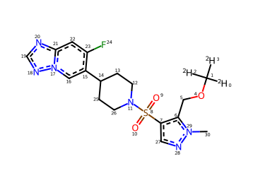 [2H]C([2H])([2H])OCc1c(S(=O)(=O)N2CCC(c3cn4ncnc4cc3F)CC2)cnn1C